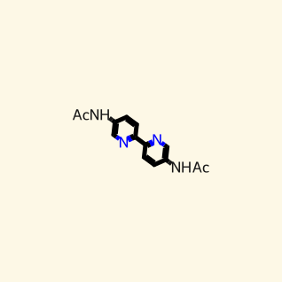 CC(=O)Nc1ccc(-c2ccc(NC(C)=O)cn2)nc1